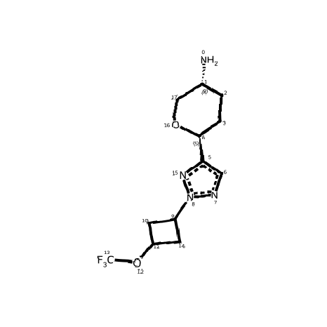 N[C@@H]1CC[C@@H](c2cnn(C3CC(OC(F)(F)F)C3)n2)OC1